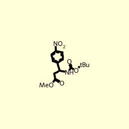 COC(=O)CC(NC(=O)OC(C)(C)C)c1ccc([N+](=O)[O-])cc1